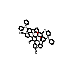 N#Cc1ccc(-c2c(-n3c4ccccc4c4cc(N(c5ccccc5)c5ccccc5)ccc43)c(-c3ccc(C#N)nc3)c(C#N)c(-c3ccc(C#N)nc3)c2-n2c3ccccc3c3cc(N(c4ccccc4)c4ccccc4)ccc32)cc1